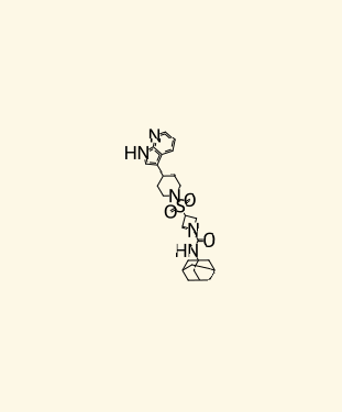 O=C(NC12CC3CC(CC(C3)C1)C2)N1CC(S(=O)(=O)N2CCC(c3c[nH]c4ncccc34)CC2)C1